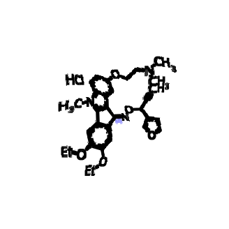 C#CC(O/N=C1/c2cc(OCC)c(OCC)cc2-c2c1c1cc(OCCN(C)C)ccc1n2C)c1ccoc1.Cl